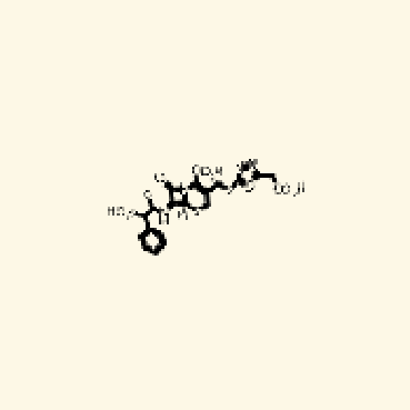 O=C(O)Cc1nnc(SCC2=C(C(=O)O)N3C(=O)C(NC(=O)C(c4ccccc4)S(=O)(=O)O)[C@@H]3SC2)o1